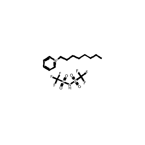 CCCCCCCC[n+]1ccccc1.O=S(=O)(NS(=O)(=O)C(F)(F)F)C(F)(F)F